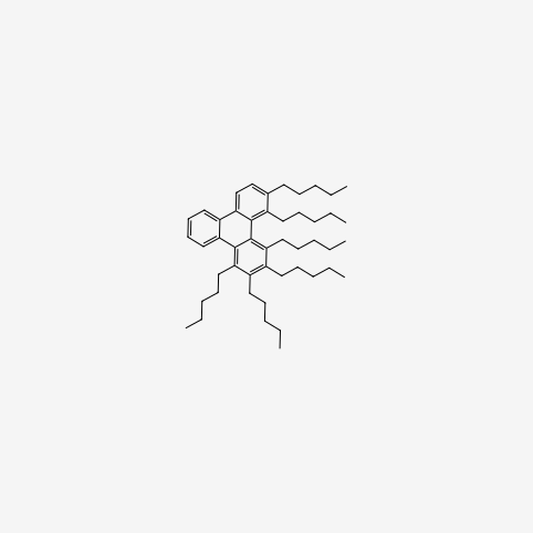 CCCCCc1ccc2c3ccccc3c3c(CCCCC)c(CCCCC)c(CCCCC)c(CCCCC)c3c2c1CCCCC